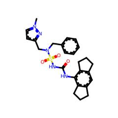 Cn1ccc(CN(Cc2ccccc2)S(=O)(=O)NC(=O)Nc2c3c(cc4c2CCC4)CCC3)n1